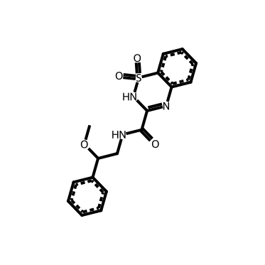 COC(CNC(=O)C1=Nc2ccccc2S(=O)(=O)N1)c1ccccc1